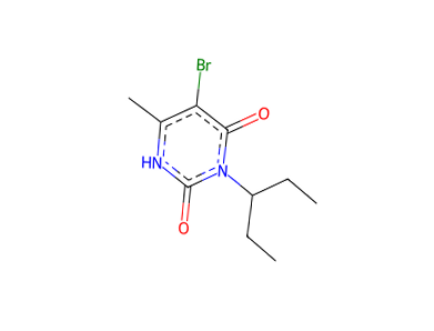 CCC(CC)n1c(=O)[nH]c(C)c(Br)c1=O